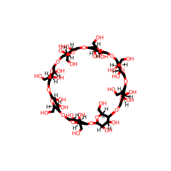 OC[C@H]1OC2OC3[C@@H](CO)OC(OC4[C@@H](CO)OC(OC5[C@@H](CO)OC(OC6[C@@H](CO)OC(OC7[C@@H](CO)OC(OC8[C@@H](CO)OC(OC9[C@@H](CO)OC(OC1[C@H](O)[C@H]2O)[C@H](O)[C@H]9O)[C@H](O)[C@H]8O)[C@H](O)[C@H]7O)[C@H](O)[C@H]6O)[C@H](O)[C@H]5O)[C@H](O)[C@H]4O)[C@H](O)[C@H]3O